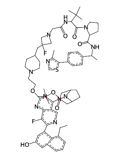 CCc1cccc2cc(O)cc(-c3ncc4c(N5CC6CCC(C5)N6C(=O)OC(C)(C)C)nc(OCCN5CCC(CC6(F)CN(CC(=O)NC(C(=O)N7CCCC7C(=O)NC(C)c7ccc(-c8scnc8C)cc7)C(C)(C)C)C6)CC5)nc4c3F)c12